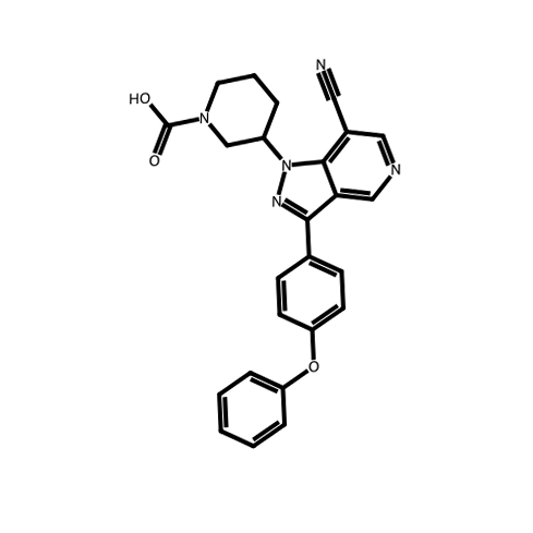 N#Cc1cncc2c(-c3ccc(Oc4ccccc4)cc3)nn(C3CCCN(C(=O)O)C3)c12